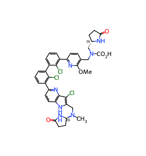 COc1nc(-c2cccc(-c3cccc(-c4ccc5[nH]c(CN(C)[C@H]6CCC(=O)N6)c(Cl)c5n4)c3Cl)c2Cl)ccc1CN(C[C@@H]1CCC(=O)N1)C(=O)O